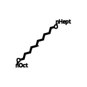 CCCCCCCCOCCCC[CH]CCCCCOCCCCCCC